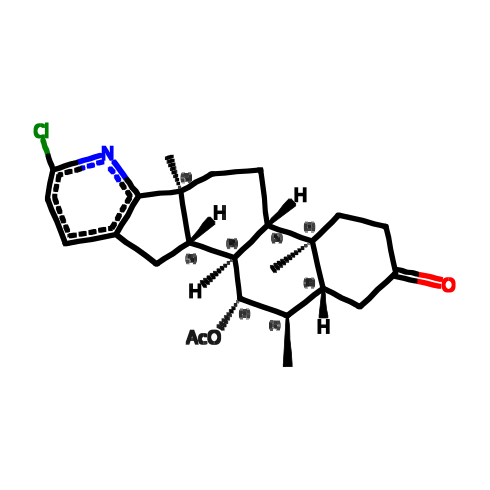 CC(=O)O[C@H]1[C@H](C)[C@H]2CC(=O)CC[C@]2(C)[C@H]2CC[C@]3(C)c4nc(Cl)ccc4C[C@H]3[C@H]12